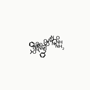 CC(C)OC(=O)C(C)NP(=O)(OCC1(COCc2ccccc2)CO[C@@H](n2cnc3c(=O)[nH]c(N)nc32)O1)Oc1ccccc1